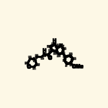 COc1ccc(-c2cnc3[nH]cc(C(=O)NCCN4CCOCC4)c3c2)cc1